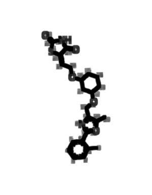 Cc1ccccc1-c1nc(COC2CCCC(OCC=C3SC(=O)NC3=O)C2)c(C)o1